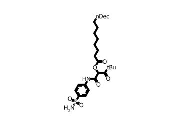 CCCCCCCCCCCCCCCCCC(=O)OC(C(=O)Nc1ccc(S(N)(=O)=O)cc1)C(=O)C(C)(C)C